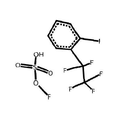 FC(F)(F)C(F)(F)c1ccccc1I.O=S(=O)(O)OF